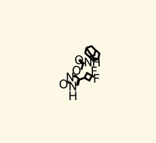 O=C(COc1nc(=O)[nH]cc1C1CC(F)(F)C1)NC12CC3CC(CC(C3)C1)C2